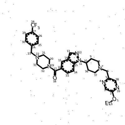 CCOc1cnc(CN2CCC(n3ncc4cc(C(=O)N5CCN(Cc6ccc(C(F)(F)F)cc6)CC5)ccc43)CC2)cn1